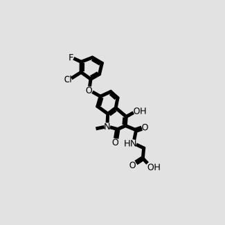 Cn1c(=O)c(C(=O)NCC(=O)O)c(O)c2ccc(Oc3cccc(F)c3Cl)cc21